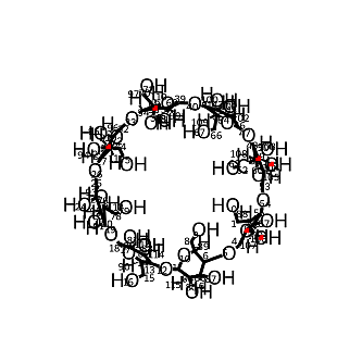 OC[C@H]1OC2OC3[C@@H](CO)OC(OC4[C@@H](CO)OC(O[C@H]5[C@H](O)[C@@H](O)C(O[C@H]6[C@H](O)[C@@H](O)C(O[C@H]7[C@H](O)[C@@H](O)C(O[C@H]8[C@H](O)[C@@H](O)C(O[C@H]9[C@H](O)[C@@H](O)C(OC1[C@H](O)[C@H]2O)O[C@@H]9CO)O[C@@H]8CO)O[C@@H]7CO)O[C@@H]6CO)O[C@@H]5CO)[C@H](O)[C@H]4O)[C@H](O)[C@H]3O